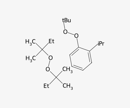 CC(C)c1ccccc1OOC(C)(C)C.CCC(C)(C)OOC(C)(C)CC